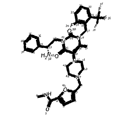 CNC(=O)c1ccc(CN2CCN(c3c(C)n(Cc4c(F)cccc4C(F)(F)F)c(=O)n(C[C@H](N)c4ccccc4)c3=O)CC2)o1